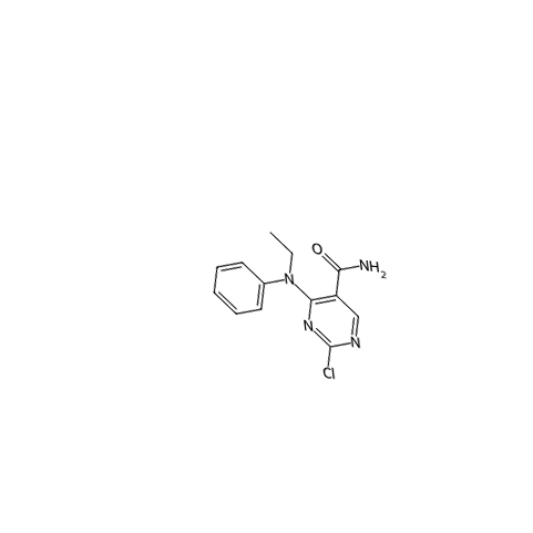 CCN(c1ccccc1)c1nc(Cl)ncc1C(N)=O